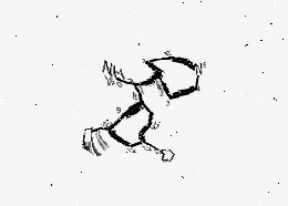 CC(c1ccncc1)c1cc(Cl)cc(Cl)c1.N